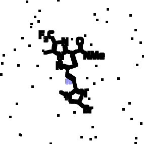 CNC(=O)c1cc(/C=C/c2nc(Br)cn2C)nn2c(C)c(C(F)(F)F)nc12